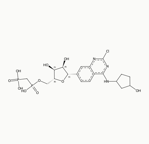 O=P(O)(O)CP(=O)(O)OC[C@H]1O[C@@H](c2ccc3c(NC4CCC(O)C4)nc(Cl)nc3c2)[C@H](O)[C@@H]1O